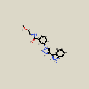 COCCNC(=O)c1cccc(-n2cc(-c3n[nH]c4ccccc34)nn2)c1